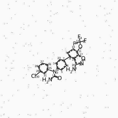 NC(=O)N(c1ccc(-c2ccc(OC(F)(F)F)c3onc(N)c23)cc1)c1cccc(Cl)c1